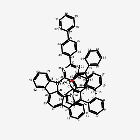 COc1cccc(-c2ccccc2)c1-c1c(F)cccc1-c1nc(-c2ccc(-c3ccccn3)cc2)nc(-n2c3ccccc3c3ccc4c5ccccc5n(-c5ccc(-c6ccccc6)cc5)c4c32)n1